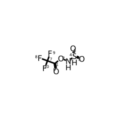 O=C(ON[SH](=O)=O)C(F)(F)F